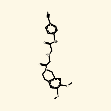 COc1cc2c(cc1OC)CN(C(=O)CNCC(=O)Nc1ccc(C#N)cc1)CC2